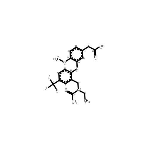 CCN(Cc1cc(C(F)(F)F)ccc1Oc1cc(CC(=O)O)ccc1OC)C(C)=O